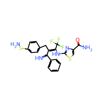 N=C(/C(Cc1ccc(SN)cc1)=C(\Nc1nc(C(N)=O)cs1)C(F)(F)F)c1ccccc1